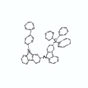 c1ccc(-c2ccc(-n3c4ccccc4c4ccc(-n5c6ccccc6c6cc([Si](c7ccccc7)(c7ccccc7)c7ccccc7)ccc65)cc43)cc2)cc1